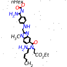 C=C/C=C\C=C(/N)N(CCC(=O)OCC)C(=O)c1ccc2c(c1)nc(CNc1ccc(/C(N)=N/C(=O)OCCCCCC)cc1)n2C